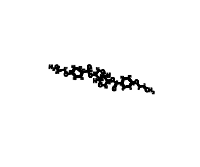 C=CCOc1ccc(C(=O)O[C@H]2CO[C@H]3[C@@H]2OC[C@H]3OC(=O)c2ccc(OCC=C)cc2)cc1